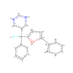 FC(c1ccccc1)(c1cncnc1)c1ccc(-c2ccccc2)o1